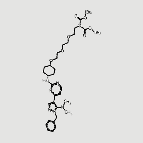 CN(C)c1c(-c2ccnc(N[C@H]3CC[C@H](OCCOCCOCCN(C(=O)OC(C)(C)C)C(=O)OC(C)(C)C)CC3)n2)cnn1Cc1ccccc1